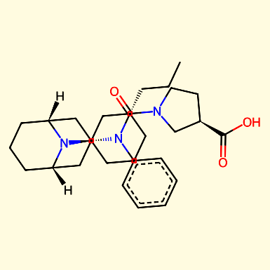 CCC[C@@H]1CCC[C@@H](N2[C@@H]3CCC[C@H]2C[C@@H](N(C(=O)N2CC[C@@H](C(=O)O)C2)c2ccccc2)C3)C1